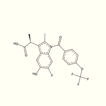 Cc1c([C@H](C)C(=O)O)c2cc(O)c(F)cc2n1C(=O)c1ccc(OC(F)(F)F)cc1